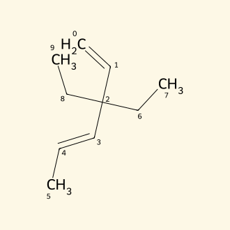 C=CC(/C=C/C)(CC)CC